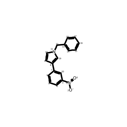 O=[N+]([O-])c1cccc(-c2ccn(Cc3ccccc3)c2)c1